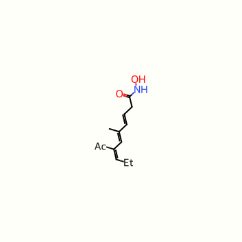 CC\C=C(/C=C(C)/C=C/CC(=O)NO)C(C)=O